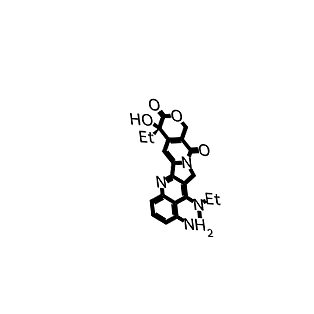 CCN(C)c1c2c(nc3cccc(N)c13)-c1cc3c(c(=O)n1C2)COC(=O)[C@]3(O)CC